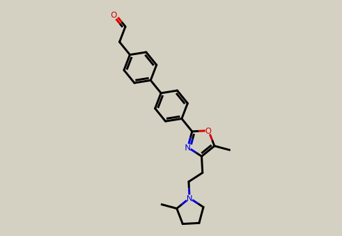 Cc1oc(-c2ccc(-c3ccc(CC=O)cc3)cc2)nc1CCN1CCCC1C